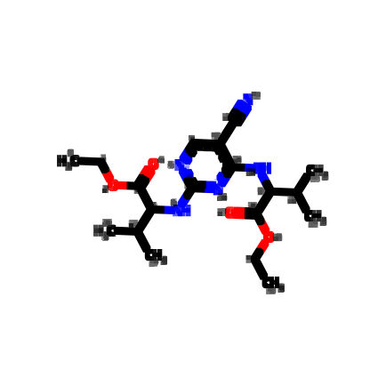 CCOC(=O)C(Nc1ncc(C#N)c(NC(C(=O)OCC)C(C)C)n1)C(C)C